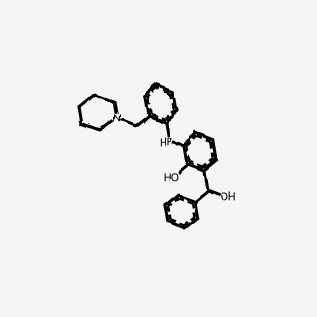 Oc1c(Pc2ccccc2CN2CCCCC2)cccc1C(O)c1ccccc1